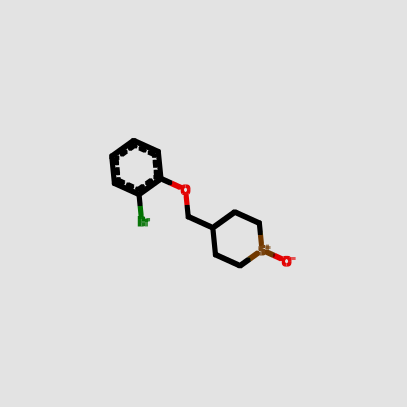 [O-][S+]1CCC(COc2ccccc2Br)CC1